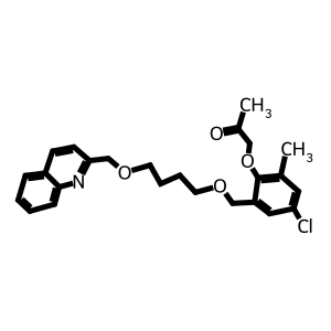 CC(=O)COc1c(C)cc(Cl)cc1COCCCCOCc1ccc2ccccc2n1